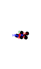 O=C(Nc1cccc(F)c1CC[C@H]1CNCCN1S(=O)(=O)c1ccccc1)[C@H](O)C(c1ccccc1)c1ccccc1